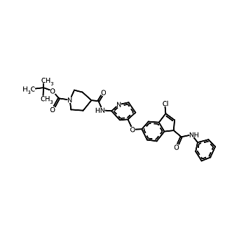 CC(C)(C)OC(=O)N1CCC(C(=O)Nc2cc(Oc3ccc4c(c3)C(Cl)=CC4C(=O)Nc3ccccc3)ccn2)CC1